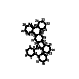 c1ccc(-c2ccccc2-n2c3ccccc3c3cc4c5ccccc5c5nccnc5c4cc32)cc1